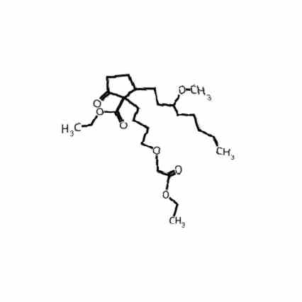 CCCCCC(CCC1CCC(=O)C1(CCCCOCC(=O)OCC)C(=O)OCC)OC